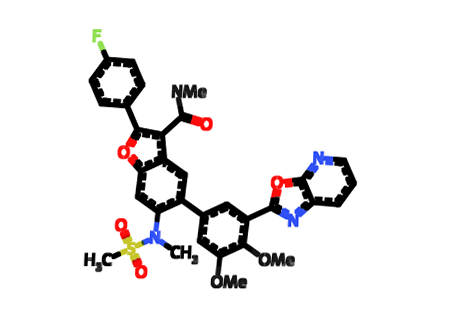 CNC(=O)c1c(-c2ccc(F)cc2)oc2cc(N(C)S(C)(=O)=O)c(-c3cc(OC)c(OC)c(-c4nc5cccnc5o4)c3)cc12